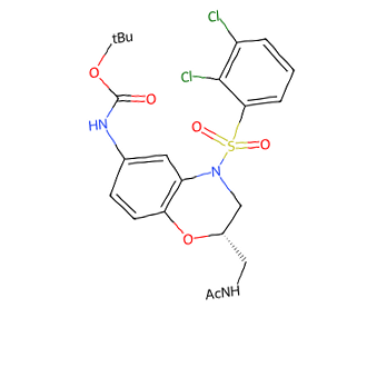 CC(=O)NC[C@H]1CN(S(=O)(=O)c2cccc(Cl)c2Cl)c2cc(NC(=O)OC(C)(C)C)ccc2O1